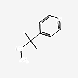 CC(C)(NN)c1ccncc1